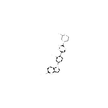 Cc1ccc2c(ccn2-c2ccc(-c3cnc(N4CCNC(C(C)C)C4)nn3)c(O)c2)n1